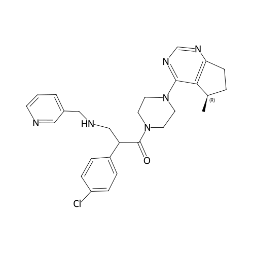 C[C@@H]1CCc2ncnc(N3CCN(C(=O)C(CNCc4cccnc4)c4ccc(Cl)cc4)CC3)c21